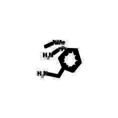 CCCN.CNC.NCc1ccccc1